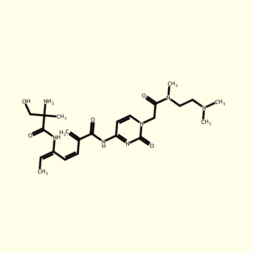 C=C(/C=C\C(=C/C)NC(=O)C(C)(N)CO)C(=O)Nc1ccn(CC(=O)N(C)CCN(C)C)c(=O)n1